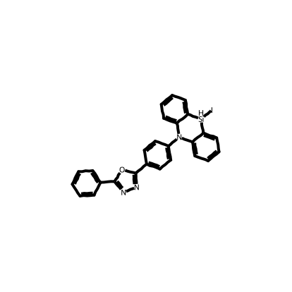 I[SiH]1c2ccccc2N(c2ccc(-c3nnc(-c4ccccc4)o3)cc2)c2ccccc21